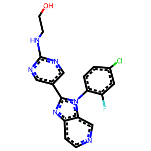 OCCNc1ncc(-c2nc3ccncc3n2-c2ccc(Cl)cc2F)cn1